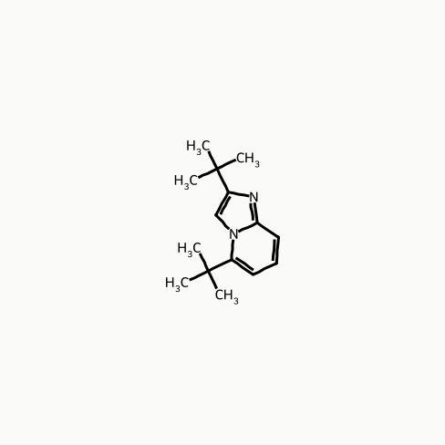 CC(C)(C)c1cn2c(C(C)(C)C)cccc2n1